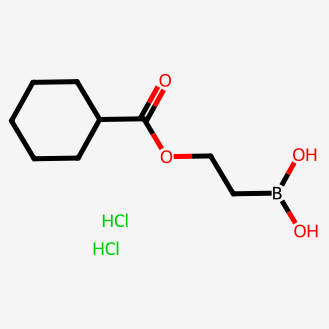 Cl.Cl.O=C(OCCB(O)O)C1CCCCC1